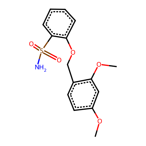 COc1ccc(COc2ccccc2S(N)(=O)=O)c(OC)c1